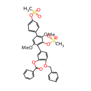 COc1cc(-c2ccc(OS(C)(=O)=O)cc2)c(OC)c(OS(C)(=O)=O)c1-c1ccc(OCc2ccccc2)c(OC(=O)c2ccccc2)c1